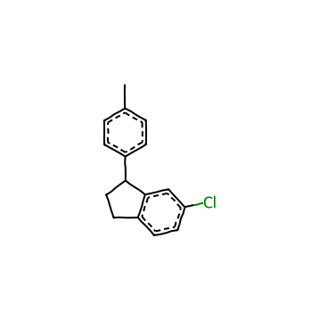 Cc1ccc(C2CCc3ccc(Cl)cc32)cc1